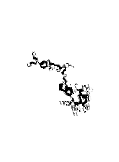 CC(C)c1cc(C2=NNC(O)N2c2ccc3c(ccn3CCOCCN(C)C(=O)CCCc3nc4cc(N(CCCl)CCCl)ccc4n3C)c2)c(O)cc1O